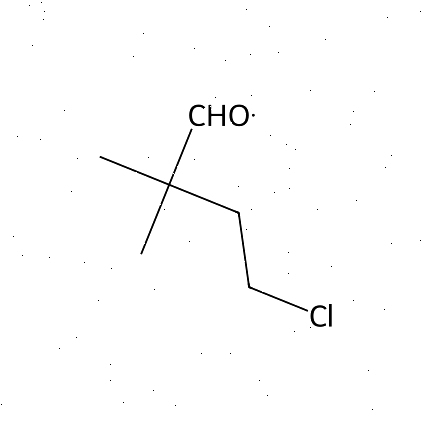 CC(C)([C]=O)CCCl